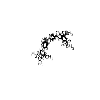 CCN1[C@H](C)CN(c2ccc(Nc3ncc(CCc4cc(C(=O)NC)cc(OC)c4Cl)cn3)cn2)C[C@@H]1C